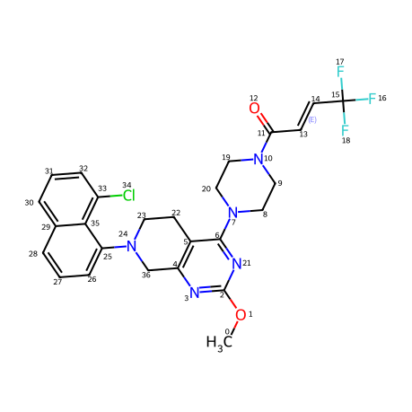 COc1nc2c(c(N3CCN(C(=O)/C=C/C(F)(F)F)CC3)n1)CCN(c1cccc3cccc(Cl)c13)C2